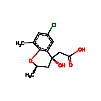 Cc1cc(Cl)cc2c1O[C@H](C)C[C@@]2(O)CC(=O)O